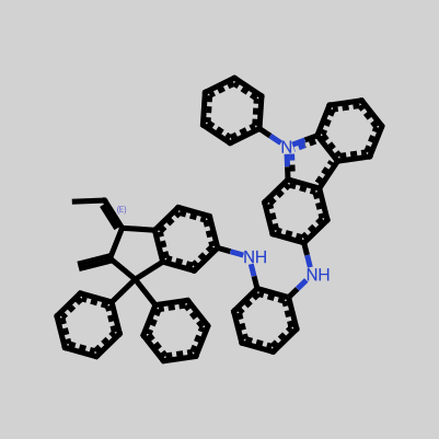 C=C1/C(=C\C)c2ccc(Nc3ccccc3Nc3ccc4c(c3)c3ccccc3n4-c3ccccc3)cc2C1(c1ccccc1)c1ccccc1